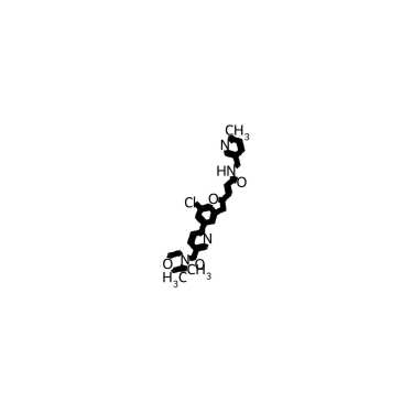 Cc1ccc(CNC(=O)/C=C/C2Cc3cc(-c4ccc(C(=O)N5CCOCC5(C)C)cn4)cc(Cl)c3O2)cn1